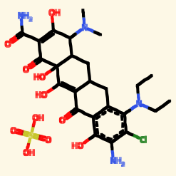 CCN(CC)c1c(Cl)c(N)c(O)c2c1CC1CC3C(N(C)C)C(O)=C(C(N)=O)C(=O)C3(O)C(O)=C1C2=O.O=S(=O)(O)O